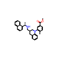 COC(=O)c1ccc(C)c(N2CC(CN[C@H](C)c3cccc4ccccc34)Cc3ccccc32)c1